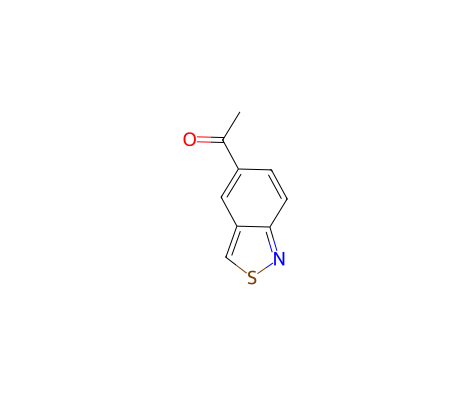 CC(=O)c1ccc2nscc2c1